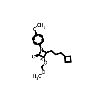 COCO[C@H]1C(=O)N(c2ccc(OC)cc2)C1CCCC1CCC1